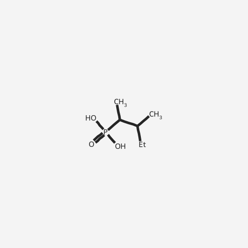 CCC(C)C(C)P(=O)(O)O